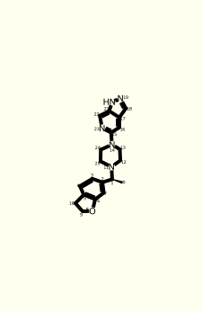 C[C@@H](c1ccc2c(c1)OCC2)N1CCN(c2cc3cn[nH]c3cn2)CC1